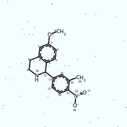 COc1ccc2c(c1)CCNC2c1ccc([N+](=O)[O-])c(C)c1